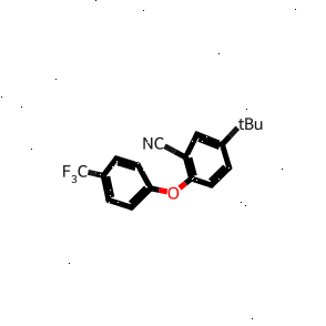 CC(C)(C)c1ccc(Oc2ccc(C(F)(F)F)cc2)c(C#N)c1